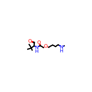 CNCCCCOCC(=O)NC(C=O)C(C)(C)C